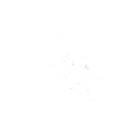 CCC(C)C(C(=O)NC(Cc1ccccc1)C(O)CN(Cc1ccc2ccccc2c1)NC(=O)CC(C)(C)CNC(=O)OC)C1CNC(=O)N1Cc1cccc(C)n1